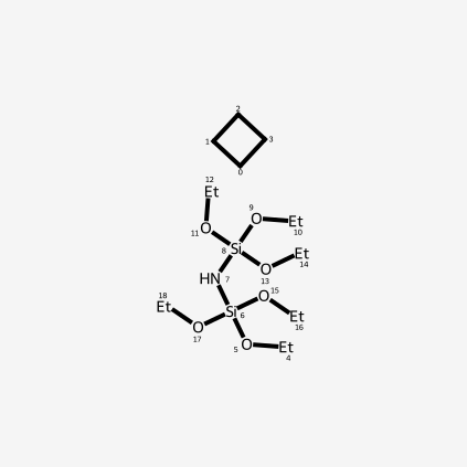 C1CCC1.CCO[Si](N[Si](OCC)(OCC)OCC)(OCC)OCC